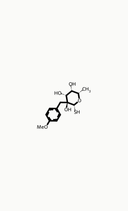 COc1ccc(C[C@]2(O)[C@H](O)[C@H](O)[C@H](C)O[C@@H]2S)cc1